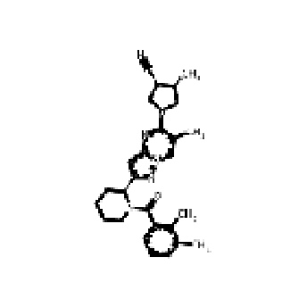 Cc1cn2nc([C@@H]3CCCCN3C(=O)c3cccc(C)c3C)cc2nc1N1C[C@@H](C#N)[C@@H](C)C1